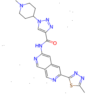 Cc1nnc(-c2cc3cc(NC(=O)c4cn(C5CCN(C)CC5)nn4)ncc3cn2)s1